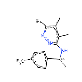 Cc1c(N[C@H](C)c2ccc(C(F)(F)F)cc2)nnc(C(C)C)c1C